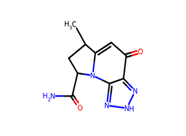 CC1CC(C(N)=O)n2c1cc(=O)c1n[nH]nc12